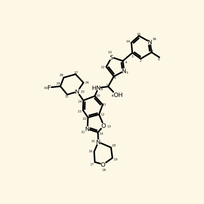 Cc1cc(-c2nc(C(O)Nc3cc4oc(N5CCOCC5)nc4cc3N3CCCC(F)C3)cs2)ccn1